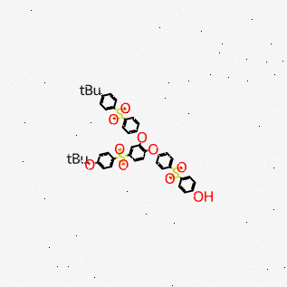 CC(C)(C)Oc1ccc(S(=O)(=O)c2ccc(Oc3ccc(S(=O)(=O)c4ccc(O)cc4)cc3)c(Oc3ccc(S(=O)(=O)c4ccc(C(C)(C)C)cc4)cc3)c2)cc1